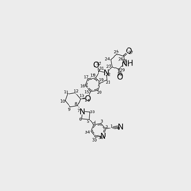 N#Cc1cc(C2CN([C@@H]3CCCC[C@H]3Oc3ccc4c(c3)CN(C3CCC(=O)NC3=O)C4=O)C2)ccn1